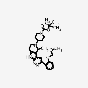 COCOc1ccccc1-c1cc2c3c([nH]c2nn1)CCN(C1CCN(C(=O)OC(C)(C)C)CC1)C3C